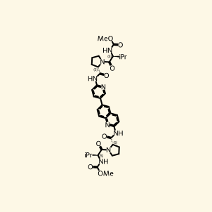 COC(=O)N[C@H](C(=O)N1CCC[C@H]1C(=O)Nc1ccc(-c2ccc3nc(NC(=O)[C@@H]4CCCN4C(=O)[C@@H](NC(=O)OC)C(C)C)ccc3c2)cn1)C(C)C